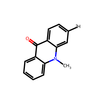 [3H]c1ccc2c(=O)c3ccccc3n(C)c2c1